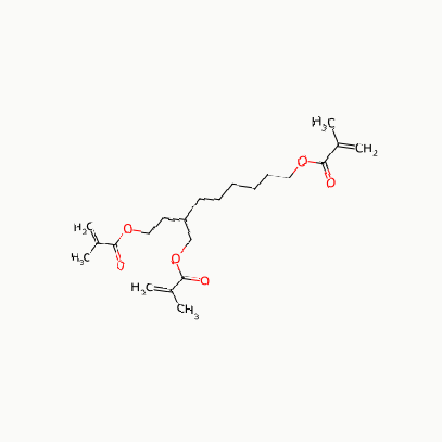 C=C(C)C(=O)OCCCCCCC(CCOC(=O)C(=C)C)COC(=O)C(=C)C